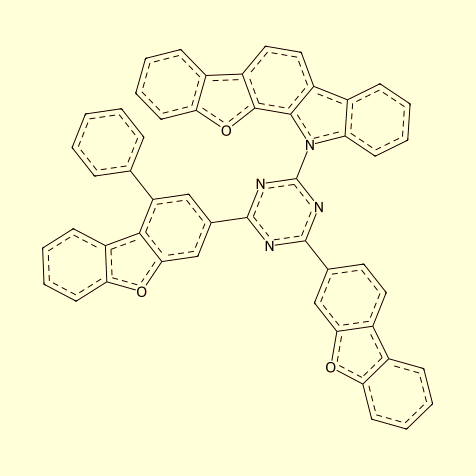 c1ccc(-c2cc(-c3nc(-c4ccc5c(c4)oc4ccccc45)nc(-n4c5ccccc5c5ccc6c7ccccc7oc6c54)n3)cc3oc4ccccc4c23)cc1